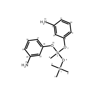 C[Si](C)(C)O[Si](C)(Oc1cccc(N)c1)Oc1cccc(N)c1